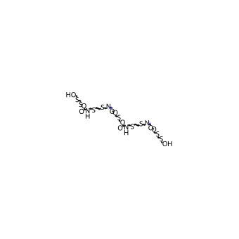 O=C(NCSCCSC/N=C\OOCSCSCO)OCSCOO/C=N\CSCCSCNC(=O)OSCSCO